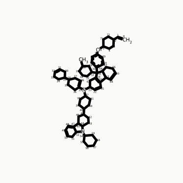 C=CC1CCC(Oc2ccc(C3(C4CCCC(C)C4)C4=C(C=CC(N(C5=CCC(C6CC=CCC6)CC5)C5CCC(C6CCC7C(C6)C6=CC=CCC6N7C6CCCCC6)CC5)C4)C4C=CCCC43)cc2)CC1